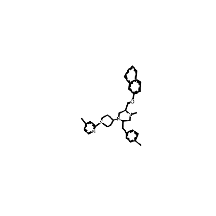 Cc1ccc(CC2CN(C)C(COc3ccc4ccccc4c3)CN2C2CCN(c3cc(C)ccn3)CC2)cc1